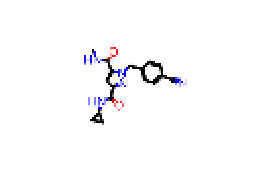 CNC(=O)c1cc(C(=O)NC2CC2)nn1Cc1ccc(C#N)cc1